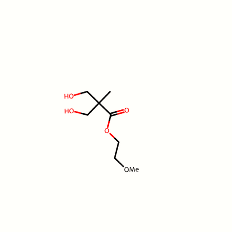 COCCOC(=O)C(C)(CO)CO